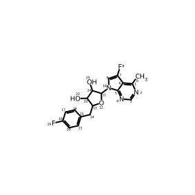 Cc1ncnc2c1c(F)cn2C1OC(Cc2ccc(F)cc2)C(O)C1O